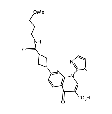 COCCCNC(=O)C1CN(c2ccc3c(=O)c(C(=O)O)cn(-c4nccs4)c3n2)C1